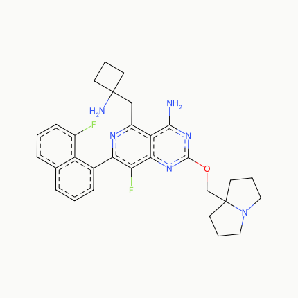 Nc1nc(OCC23CCCN2CCC3)nc2c(F)c(-c3cccc4cccc(F)c34)nc(CC3(N)CCC3)c12